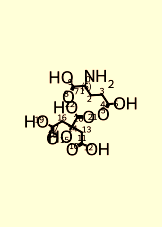 N[C@@H](CCC(=O)O)C(=O)O.O=C(O)CC(O)(CC(=O)O)C(=O)O